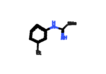 CCc1cccc(NC(=N)SC)c1